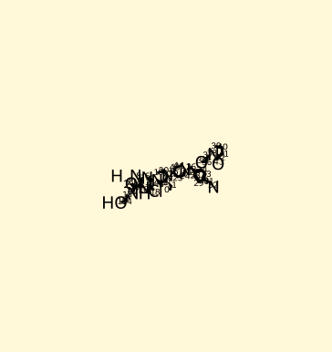 CC[C@H]1CN(c2nc(N)c(C(=O)NCCO)nc2Cl)CCN1C1CCN(Cc2ccc(C#N)cc2OCCN2CCCC2=O)CC1